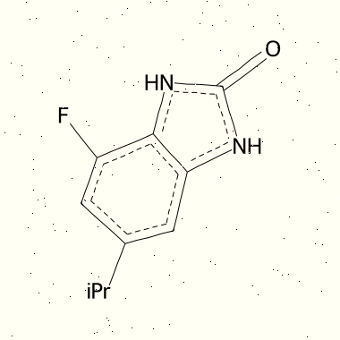 CC(C)c1cc(F)c2[nH]c(=O)[nH]c2c1